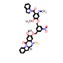 C=Nc1cc(OCc2cc(COc3cc4c(cc3OC)C(=O)N3c5ccccc5C[C@H]3CN4P)cc([N+](=O)[O-])c2)c(OC)cc1C(=O)N1CCc2ccccc21